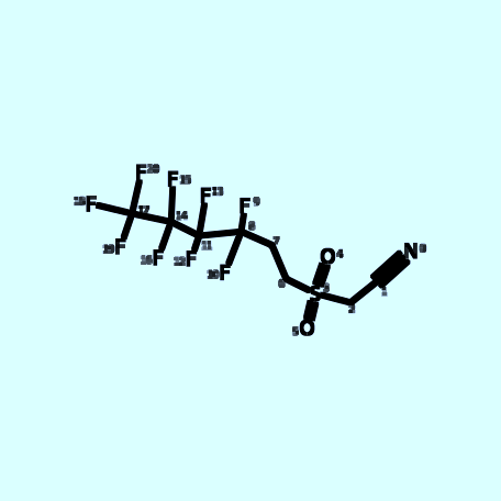 N#CCS(=O)(=O)CCC(F)(F)C(F)(F)C(F)(F)C(F)(F)F